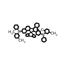 Cc1ccc(C)c(N(c2ccccc2)c2ccc3c4c(ccc3c2)-c2c(c3ccc(N(c5ccccc5)c5cc(C)ccc5C)cc3c3ccccc23)C42c3ccccc3-c3ccccc32)c1